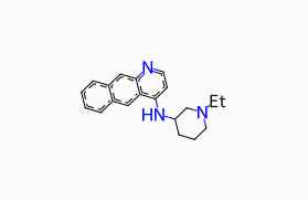 CCN1CCCC(Nc2ccnc3cc4ccccc4cc23)C1